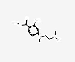 CC(C)N(C)CCN(C)c1ccc(C(=O)OC(C)(C)C)c([N+](=O)[O-])c1